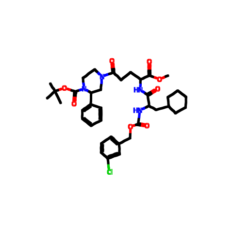 COC(=O)C(CCC(=O)N1CCN(C(=O)OC(C)(C)C)C(c2ccccc2)C1)NC(=O)C(CC1CCCCC1)NC(=O)OCc1cccc(Cl)c1